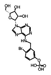 O=P(O)(O)Oc1ccc(Br)c(CNc2ncnc3c2ncn3[C@@H]2O[C@H](CO)[C@@H](O)[C@H]2O)c1